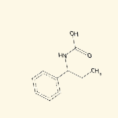 CCC(NC(=O)O)c1ccccc1